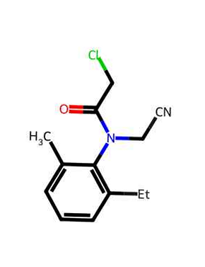 CCc1cccc(C)c1N(CC#N)C(=O)CCl